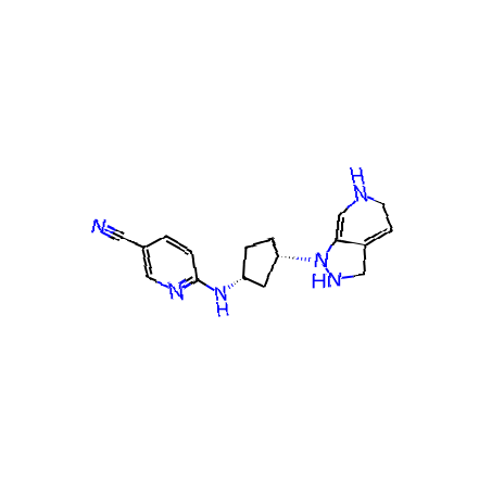 N#Cc1ccc(N[C@@H]2CC[C@H](N3NCC4=CCNC=C43)C2)nc1